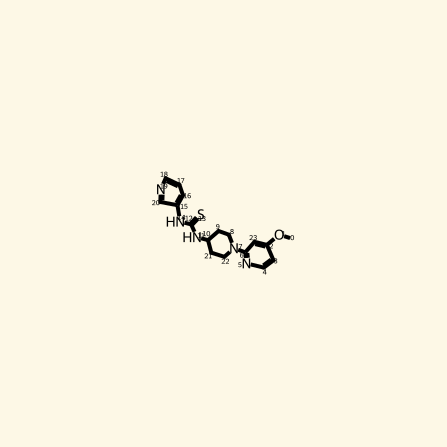 COc1ccnc(N2CCC(NC(=S)Nc3cccnc3)CC2)c1